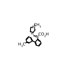 Cc1cccc(-c2ccccc2N(C[C@@H]2CCN(C)C2)C(=O)O)c1